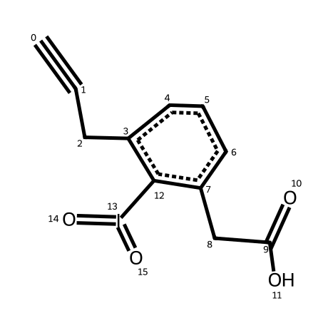 C#CCc1cccc(CC(=O)O)c1I(=O)=O